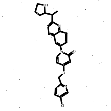 CC(c1ccc2cc(-n3ccc(OCc4ccc(Cl)cn4)cc3=O)ccc2n1)C1CCCN1